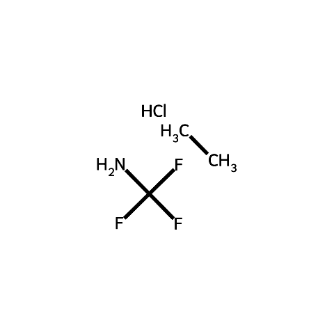 CC.Cl.NC(F)(F)F